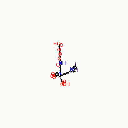 C[N+]1=C(C=CC=CC=CC=C2N(CCCCCC(=O)NCCOCCOCCOCCC(=O)O)c3ccc(S(=O)(=O)[O-])cc3C2(C)CCCCS(=O)(=O)O)C(C)(C)c2c(I)cc(I)cc21